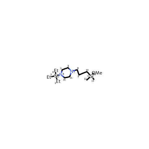 CC[Si](CC)(CC)N1CCN(CCC[Si](C)(C)OC)CC1